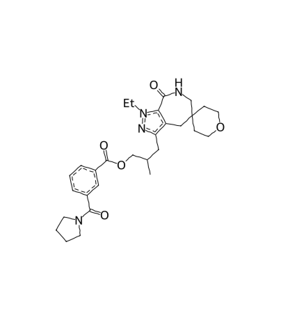 CCn1nc(CC(C)COC(=O)c2cccc(C(=O)N3CCCC3)c2)c2c1C(=O)NCC1(CCOCC1)C2